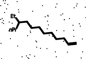 C=CCCCCCCCC(CC)CCC